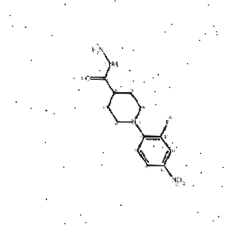 NNC(=O)C1CCN(c2ccc([N+](=O)[O-])cc2F)CC1